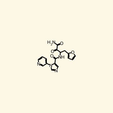 NC(=O)C(=O)C(Cc1ccco1)NC(=O)c1cncn1-c1cccnc1